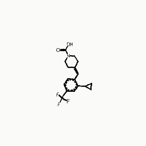 O=C(O)N1CCC(=Cc2ccc(C(F)(F)F)cc2C2CC2)CC1